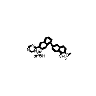 COc1ccc2cc(-c3cccc4cc(C5=NC=NCN5S(=O)(=O)O)ccc34)ccc2c1N